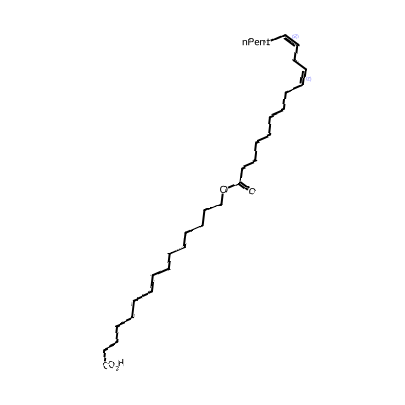 CCCCC/C=C\C/C=C\CCCCCCCC(=O)OCCCCCCCCCCCCCCC(=O)O